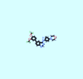 FC(F)Oc1ccc(-c2ccc3ncnc(Nc4ccc(N5CCOCC5)cc4)c3c2)cc1OC(F)F